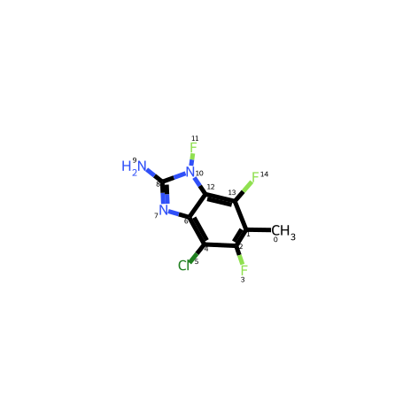 Cc1c(F)c(Cl)c2nc(N)n(F)c2c1F